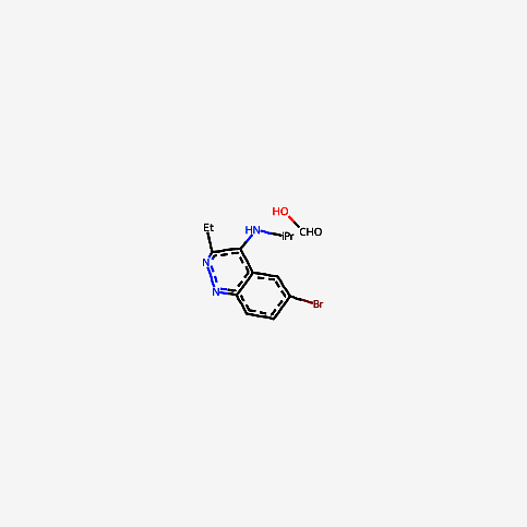 CCc1nnc2ccc(Br)cc2c1NC(C)C.O=CO